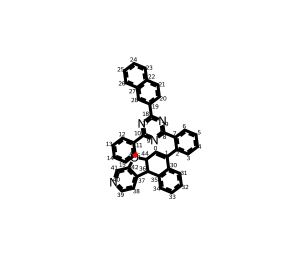 C1=C(c2ccccc2-c2nc(-c3ccccc3)nc(-c3ccc4ccccc4c3)n2)c2ccccc2C2c3ccncc3OC12